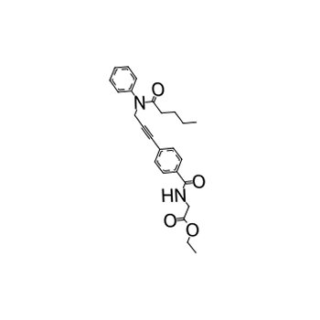 CCCCC(=O)N(CC#Cc1ccc(C(=O)NCC(=O)OCC)cc1)c1ccccc1